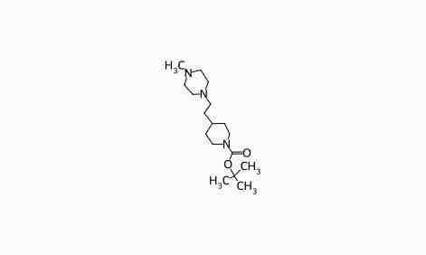 CN1CCN(CCC2CCN(C(=O)OC(C)(C)C)CC2)CC1